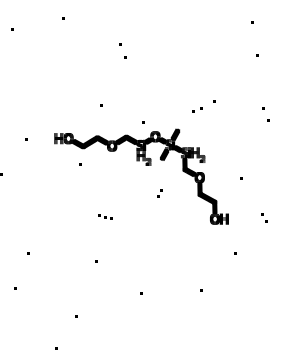 C[Si](C)(O[SiH2]COCCO)[SiH2]COCCO